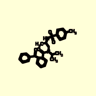 Cc1ccc(S(=O)(=O)NC(C)CN(C(=O)c2ccccc2C(=O)c2ccccc2)C(C)C)cc1